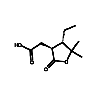 CC[C@H]1[C@H](CC(=O)O)C(=O)OC1(C)C